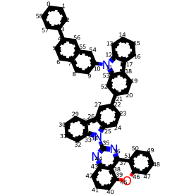 c1ccc(-c2ccc3ccc(-n4c5ccccc5c5ccc(-c6ccc7c(c6)c6ccccc6n7-c6nc7c8c(cccc8n6)Oc6ccccc6-7)cc54)cc3c2)cc1